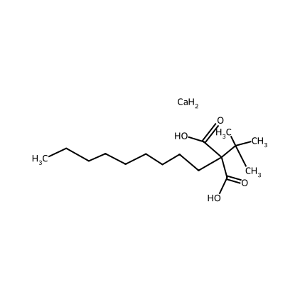 CCCCCCCCCC(C(=O)O)(C(=O)O)C(C)(C)C.[CaH2]